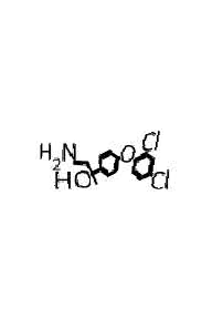 CC(O)(CCN)c1ccc(Oc2ccc(Cl)cc2Cl)cc1